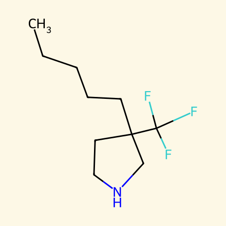 CCCCCC1(C(F)(F)F)CCNC1